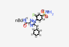 CCCCN(C)C(=O)c1nc(Cc2ccccc2)n(-c2ccc(S(N)(=O)=O)cc2F)n1